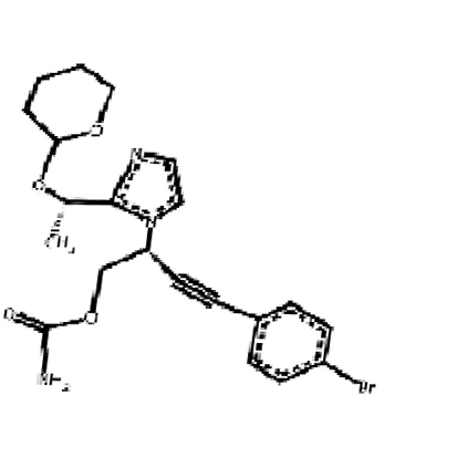 C[C@H](OC1CCCCO1)c1nccn1[C@@H](C#Cc1ccc(Br)cc1)COC(N)=O